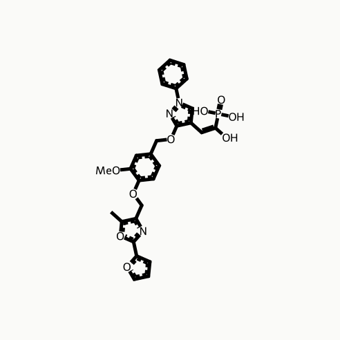 COc1cc(COc2nn(-c3ccccc3)cc2C=C(O)P(=O)(O)O)ccc1OCc1nc(-c2ccco2)oc1C